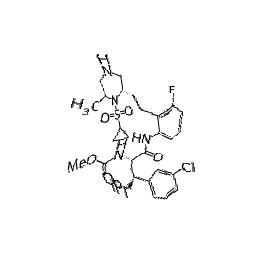 COC(=O)N[C@H](C(=O)Nc1cccc(F)c1CC[C@H]1CNC[C@H](C)N1S(=O)(=O)C1CC1)[C@@H](c1cccc(Cl)c1)C(C)C